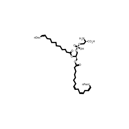 CCCCC/C=C\C/C=C\C/C=C\CCCCCCC(=O)OC[C@H](COP(=O)(O)OC[C@H](N)C(=O)O)OC(=O)CCCCCCCCC/C=C\CCCCCCCCCC